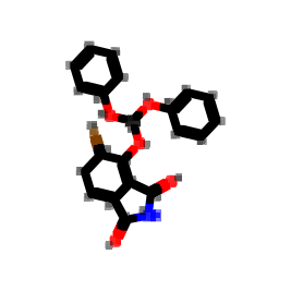 O=C1NC(=O)C2=C(O[As](Oc3ccccc3)Oc3ccccc3)C(=S)CC=C12